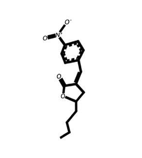 CCCCC1CC(=Cc2ccc([N+](=O)[O-])cc2)C(=O)O1